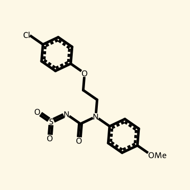 COc1ccc(N(CCOc2ccc(Cl)cc2)C(=O)N=S(=O)=O)cc1